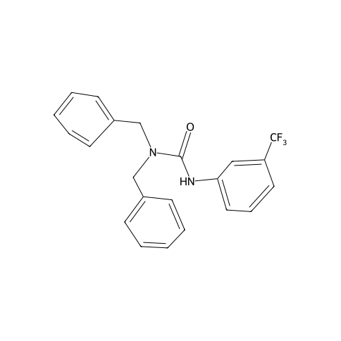 O=C(Nc1cccc(C(F)(F)F)c1)N(Cc1ccccc1)Cc1ccccc1